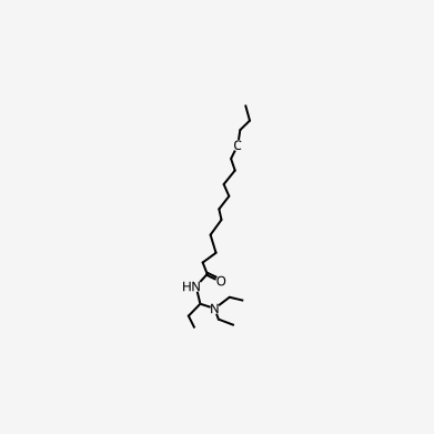 CCCCCCCCCCCCCC(=O)NC(CC)N(CC)CC